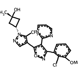 COc1cccc(-c2noc(-c3cnn([C@H]4C[C@@](C)(O)C4)c3C(F)(F)F)c2-c2ncccn2)c1Cl